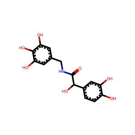 O=C(NCc1cc(O)c(O)c(O)c1)C(O)c1ccc(O)c(O)c1